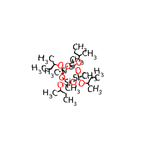 CCC(C)O[Si]1(C)O[Si](C)(OC(C)CC)O[Si](C)(OC(C)CC)O[Si](C)(OC(C)CC)O1